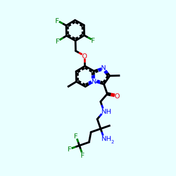 Cc1cc(OCc2c(F)ccc(F)c2F)c2nc(C)c(C(=O)CNCC(C)(N)CCC(F)(F)F)n2c1